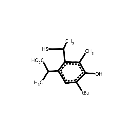 Cc1c(O)c(C(C)(C)C)cc(C(C)C(=O)O)c1C(C)S